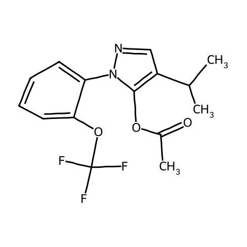 CC(=O)Oc1c(C(C)C)cnn1-c1ccccc1OC(F)(F)F